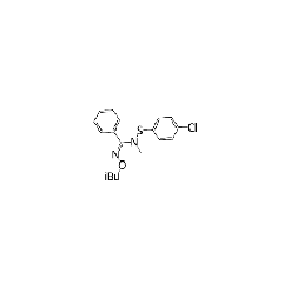 CCC(C)ON=C(c1ccccc1)N(C)Sc1ccc(Cl)cc1